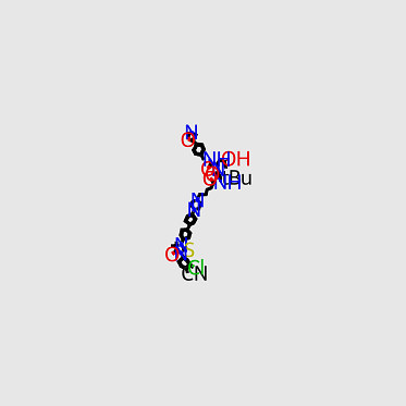 CC(C)(C)[C@H](NC(=O)CCCCN1CCN(c2ccc(-c3ccc(N4C(=S)N(c5ccc(C#N)c(Cl)c5)C(=O)C4(C)C)cc3)cc2)CC1)C(=O)N1C[C@H](O)C[C@H]1C(=O)NCc1ccc(-c2cnco2)cc1